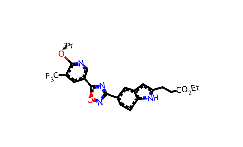 CCOC(=O)CCc1cc2cc(-c3noc(-c4cnc(OC(C)C)c(C(F)(F)F)c4)n3)ccc2[nH]1